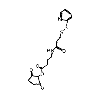 O=C(CCSSc1ccccn1)NCCCC(=O)OC1C(=O)CCC1=O